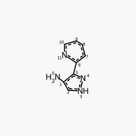 Nc1c[nH]nc1-c1ccccn1